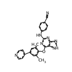 Cc1cc(-c2ccncc2)cc(C)c1Oc1nc(Nc2ccc(C#N)cc2)nc2nc[nH]c12